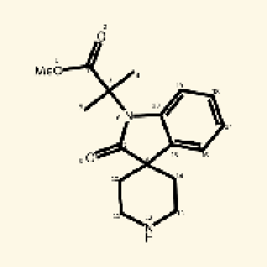 COC(=O)C(C)(C)N1C(=O)C2(CCNCC2)c2ccccc21